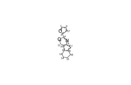 c1coc(C2=Nc3sc4c(c3CO2)CCCC4)c1